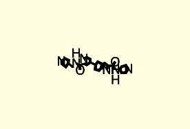 O=C(NCc1ccncc1)c1cc(-c2ccc3[nH]c(C(=O)Nc4ccncc4)cc3c2)ccn1